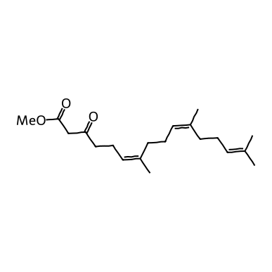 COC(=O)CC(=O)CCC=C(C)CCC=C(C)CCC=C(C)C